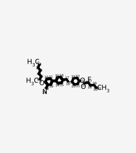 CCCCCC[C@@H](C)Oc1ccc(-c2ccc(CC[C@H]3CC[C@H](OC(=O)[C@@H](F)CCCC)CC3)cc2)cc1C#N